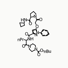 CCCCOC(=O)N1CCN(C(=O)C(CCC)NC(=O)c2cc(OCC(=O)N3CCCC3C(=O)NC3CCC3)n(-c3ccccc3)n2)CC1